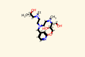 CCN(CCN(CCN(C)[C@H](CO)[C@H](O)CO)Cc1ccncc1)C[C@H](C)O